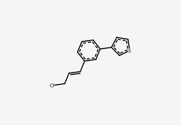 ClC/C=C/c1cccc(-c2ccsc2)c1